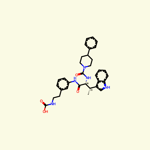 C[C@@H](c1c[nH]c2ccccc12)[C@@H](NC(=O)N1CCC(c2ccccc2)CC1)C(=O)Nc1cccc(CCNC(=O)O)c1